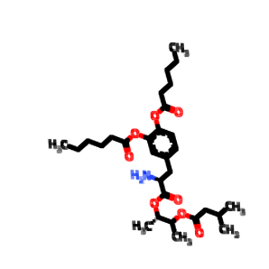 CCCCCC(=O)Oc1ccc(C[C@H](N)C(=O)O[C@@H](C)C(C)OC(=O)CC(C)C)cc1OC(=O)CCCCC